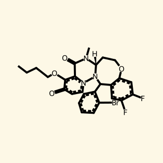 CCCCOc1c2n(ccc1=O)N1C(c3ccccc3Br)c3cc(F)c(F)cc3OCC[C@H]1N(C)C2=O